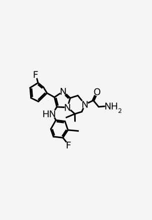 Cc1cc(Nc2c(-c3cccc(F)c3)nc3n2C(C)(C)CN(C(=O)CN)C3)ccc1F